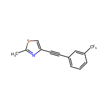 Cc1nc(C#Cc2cccc(C(F)(F)F)c2)cs1